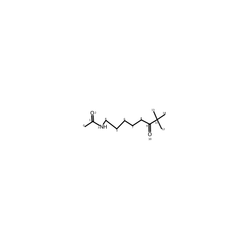 CC(=O)NCCCCCC(=O)C(C)(C)C